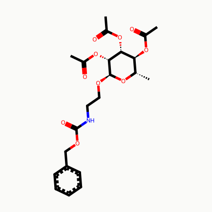 CC(=O)O[C@@H]1[C@@H](OC(C)=O)[C@H](C)O[C@@H](OCCNC(=O)OCc2ccccc2)[C@@H]1OC(C)=O